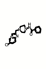 O=C(NN1CCN(Cc2cn3cc(Cl)ccc3n2)CC1)c1ccccc1